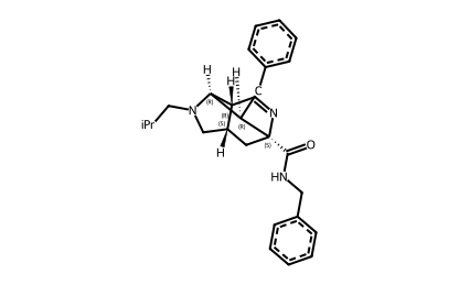 CC(C)CN1C[C@H]2C[C@]3(C(=O)NCc4ccccc4)N=C[C@H]2[C@H]1[C@H]3Cc1ccccc1